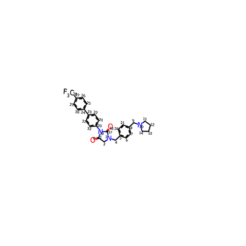 O=C1CN(Cc2ccc(CN3CCCC3)cc2)C(=O)N1c1ccc(-c2ccc(C(F)(F)F)cc2)cc1